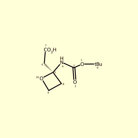 CC(C)(C)OC(=O)N[C@@]1(CC(=O)O)CCO1